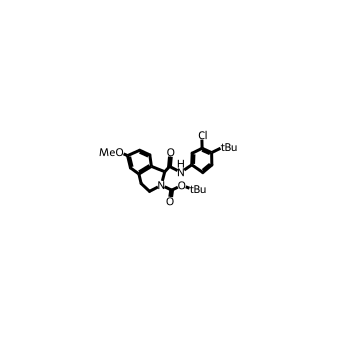 COc1ccc2c(c1)CCN(C(=O)OC(C)(C)C)C2C(=O)Nc1ccc(C(C)(C)C)c(Cl)c1